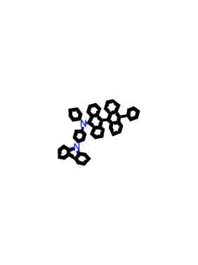 c1ccc(-c2c3ccccc3c(-c3c4ccccc4c(N(c4ccccc4)c4ccc(-n5c6ccccc6c6ccccc65)cc4)c4ccccc34)c3ccccc23)cc1